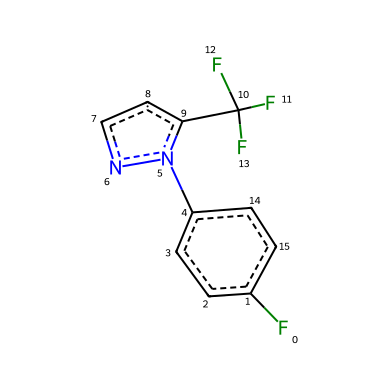 Fc1ccc(-n2nc[c]c2C(F)(F)F)cc1